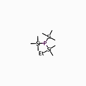 CC[Si](C)(C)P([Si](C)(C)C)[Si](C)(C)C